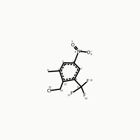 Cc1cc([N+](=O)[O-])cc(C(F)(F)F)c1CCl